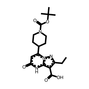 CCc1nn2c(C3CCN(C(=O)OC(C)(C)C)CC3)cc(=O)[nH]c2c1C(=O)O